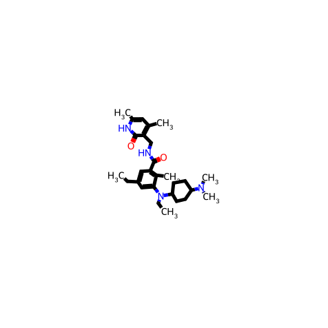 CCc1cc(C(=O)NCc2c(C)cc(C)[nH]c2=O)c(C)c(N(CC)C2CCC(N(C)C)CC2)c1